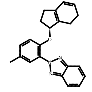 Cc1ccc(O[C@H]2CCC3=C2CCC=C3)c(-n2nc3ccccc3n2)c1